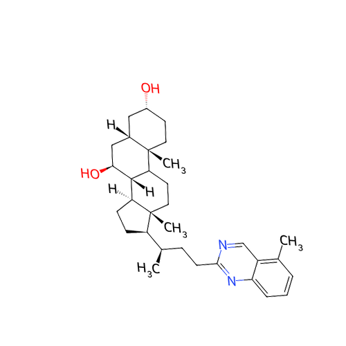 Cc1cccc2nc(CC[C@@H](C)[C@H]3CC[C@H]4[C@H]5C(CC[C@]34C)[C@@]3(C)CC[C@@H](O)C[C@H]3C[C@@H]5O)ncc12